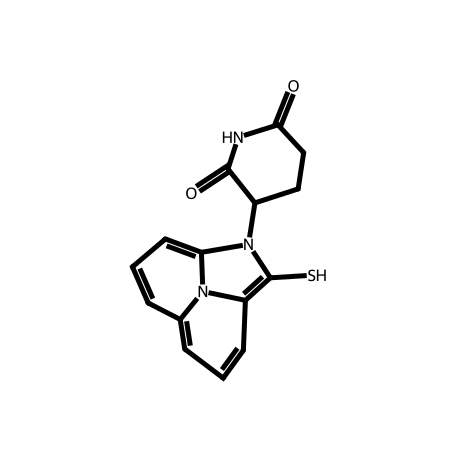 O=C1CCC(N2C3=CC=CC4=CC=CC(=C2S)N43)C(=O)N1